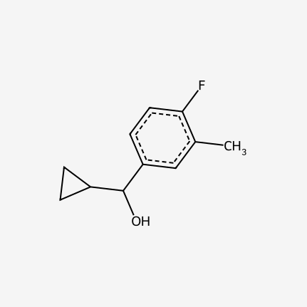 Cc1cc(C(O)C2CC2)ccc1F